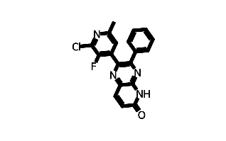 Cc1cc(-c2nc3ccc(=O)[nH]c3nc2-c2ccccc2)c(F)c(Cl)n1